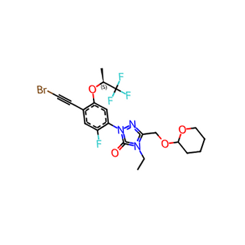 CCn1c(COC2CCCCO2)nn(-c2cc(O[C@@H](C)C(F)(F)F)c(C#CBr)cc2F)c1=O